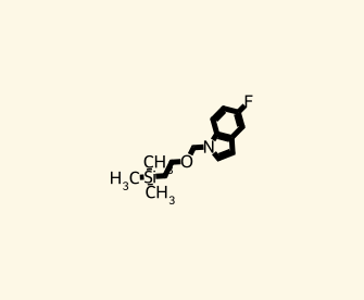 C[Si](C)(C)CCOCn1ccc2cc(F)ccc21